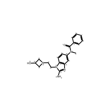 CN(C(=O)c1ccccc1)c1ccc2c(c1)nc(N)n2CCN1CC(O)C1